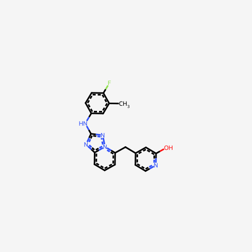 Cc1cc(Nc2nc3cccc(Cc4ccnc(O)c4)n3n2)ccc1F